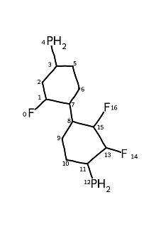 FC1CC(P)CCC1C1CCC(P)C(F)C1F